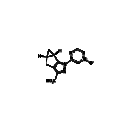 O=C(O)c1nn(-c2c[n+]([O-])ccn2)c2c1C[C@@H]1C[C@H]21